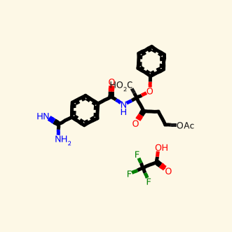 CC(=O)OCCC(=O)C(NC(=O)c1ccc(C(=N)N)cc1)(Oc1ccccc1)C(=O)O.O=C(O)C(F)(F)F